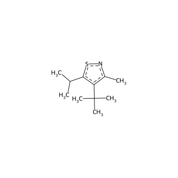 Cc1nsc(C(C)C)c1C(C)(C)C